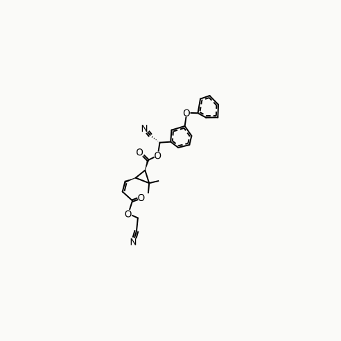 CC1(C)[C@H](C(=O)O[C@H](C#N)c2cccc(Oc3ccccc3)c2)[C@@H]1/C=C\C(=O)OCC#N